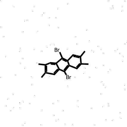 Cc1cc2c(Br)c3cc(C)c(C)cc3c(Br)c2cc1C